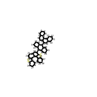 c1ccc2c(c1)ccc1c(-c3c4ccccc4c(-c4cc5ccc6sc7ccccc7c6c5c5c4sc4ccccc45)c4ccccc34)cc3ccccc3c12